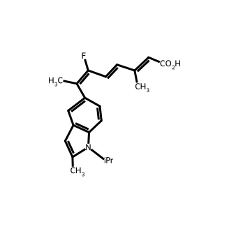 CC(/C=C/C(F)=C(/C)c1ccc2c(c1)cc(C)n2C(C)C)=C\C(=O)O